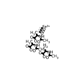 C=C(NC(C)=O)C(=O)[O-].C=C(NC(C)=O)C(=O)[O-].C=C(NC(C)=O)C(=O)[O-].[C]=O.[C]=O.[C]=O.[Fe+3]